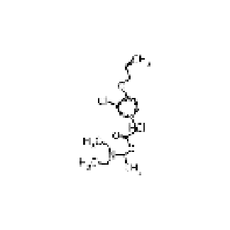 C=CCOc1ccc(CC(=O)OC(C)N(CC)CC)cc1Cl.Cl